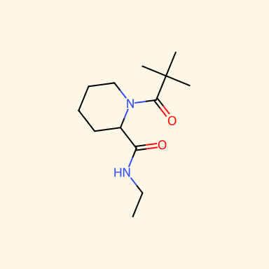 CCNC(=O)C1CCCCN1C(=O)C(C)(C)C